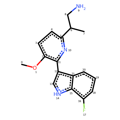 COc1ccc(C(C)CN)nc1-c1c[nH]c2c(F)cccc12